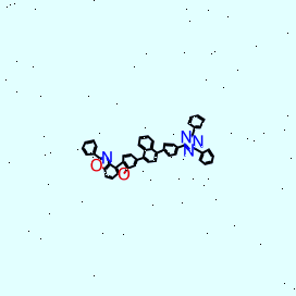 c1ccc(-c2nc(-c3ccccc3)nc(-c3ccc(-c4ccc(-c5ccc6c(c5)oc5ccc7oc(-c8ccccc8)nc7c56)c5ccccc45)cc3)n2)cc1